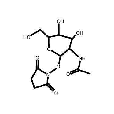 CC(=O)NC1C(ON2C(=O)CCC2=O)OC(CO)C(O)C1O